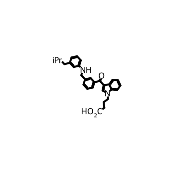 CC(C)Cc1cccc(NCc2cccc(C(=O)c3cn(CCCC(=O)O)c4ccccc34)c2)c1